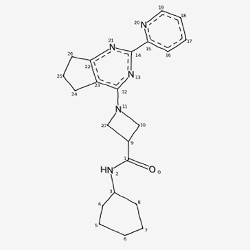 O=C(NC1CCCCC1)C1CN(c2nc(-c3ccccn3)nc3c2CCC3)C1